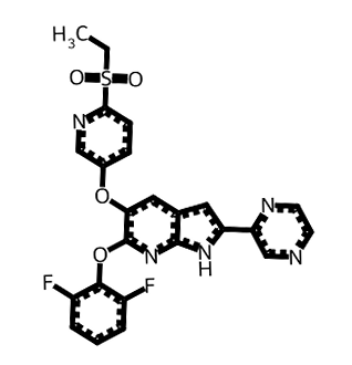 CCS(=O)(=O)c1ccc(Oc2cc3cc(-c4cnccn4)[nH]c3nc2Oc2c(F)cccc2F)cn1